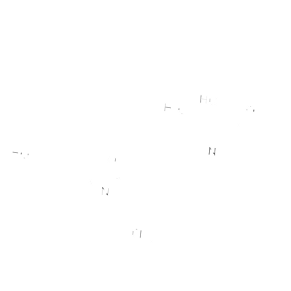 CCCN(C(=O)CCCCCn1ccc(=O)c(O)c1CC)[C@H]1CCc2c(O)cccc2C1